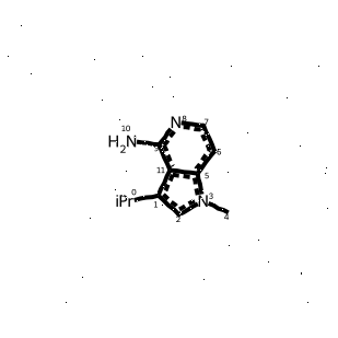 CC(C)c1cn(C)c2ccnc(N)c12